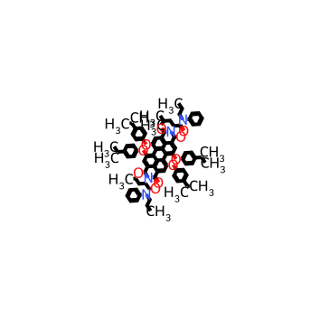 CCCN(C(=O)C(CC(C)C)N1C(=O)c2cc(Oc3ccc(C(C)C)cc3)c3c4c(Oc5ccc(C(C)C)cc5)cc5c6c(cc(Oc7ccc(C(C)C)cc7)c(c7c(Oc8ccc(C(C)C)cc8)cc(c2c37)C1=O)c64)C1OC(C)CC(C(=O)N(CCC)c2ccccc2)N1C5=O)c1ccccc1